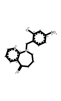 O=C1CCCN(Cc2ccc([N+](=O)[O-])cc2Cl)c2ncccc21